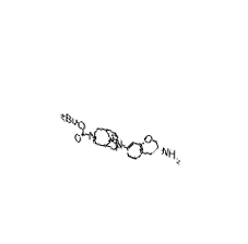 CC(C)(C)OC(=O)N1CC2CN(c3ccc4c(c3)OC[C@H](N)C4)CC(C1)C2(F)F